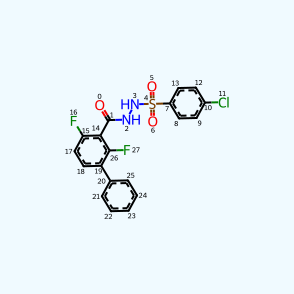 O=C(NNS(=O)(=O)c1ccc(Cl)cc1)c1c(F)ccc(-c2ccccc2)c1F